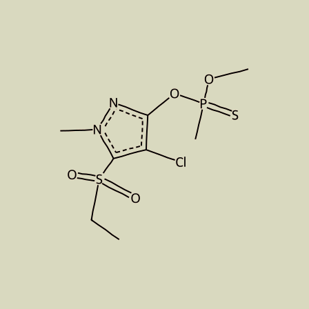 CCS(=O)(=O)c1c(Cl)c(OP(C)(=S)OC)nn1C